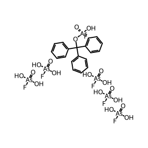 O=[As](O)(F)OC(c1ccccc1)(c1ccccc1)c1ccccc1.O=[As](O)(O)F.O=[As](O)(O)F.O=[As](O)(O)F.O=[As](O)(O)F.O=[As](O)(O)F